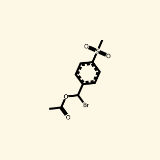 CC(=O)OC(Br)c1ccc(S(C)(=O)=O)cc1